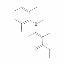 C=C(CC)/C(C)=C(\C)B(C)C(=C(C)C)/C(C)=C\C